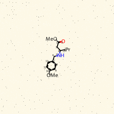 COC(=O)CC(NCc1ccc(OC)cc1)C(C)C